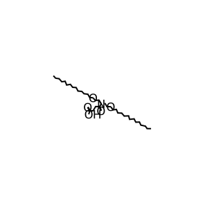 CCCCCCCCCCCCCCOCCN(CCOCCCCCCCCCCCCCC)C(=O)CCC(=O)O